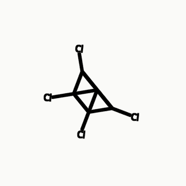 ClC12C3(Cl)C4(Cl)C1(Cl)C234